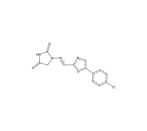 O=C1CN(/N=C/c2ncc(-c3ccc(Cl)cc3)o2)C(=O)N1